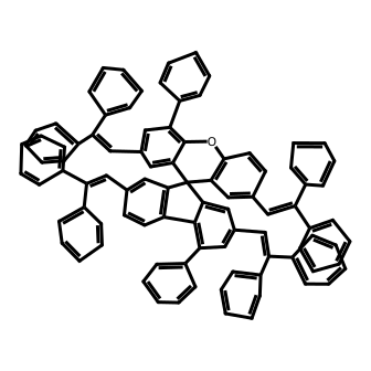 C(=C(c1ccccc1)c1ccccc1)c1ccc2c(c1)C1(c3cc(C=C(c4ccccc4)c4ccccc4)ccc3-c3c(-c4ccccc4)cc(C=C(c4ccccc4)c4ccccc4)cc31)c1cc(C=C(c3ccccc3)c3ccccc3)cc(-c3ccccc3)c1O2